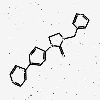 O=C1N(Cc2ccccc2)CCN1c1ccc(-c2ccncc2)cc1